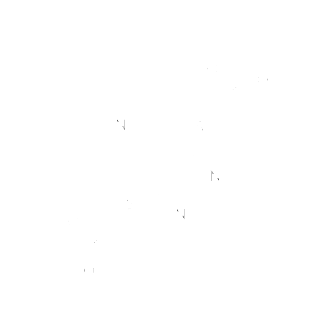 COC(=O)CSc1ncnc(SCC(=O)OC)c1C#N